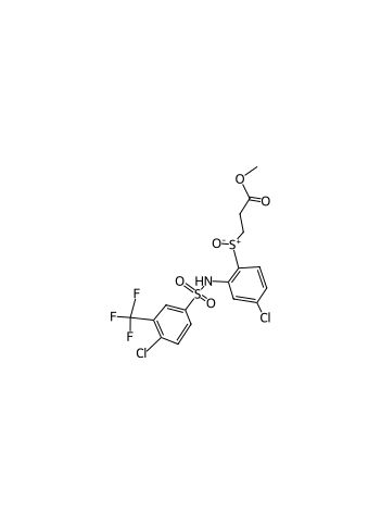 COC(=O)CC[S+]([O-])c1ccc(Cl)cc1NS(=O)(=O)c1ccc(Cl)c(C(F)(F)F)c1